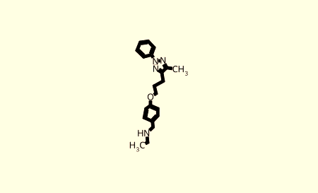 CCNCc1ccc(OCCCc2nn(-c3ccccc3)nc2C)cc1